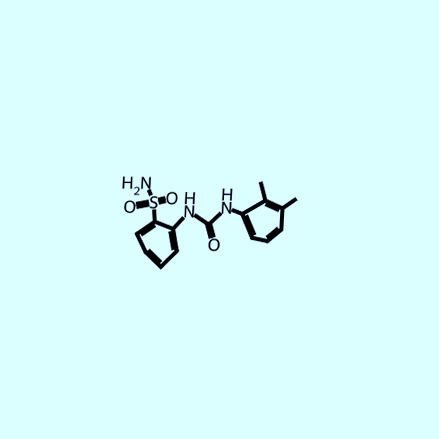 Cc1cccc(NC(=O)Nc2ccccc2S(N)(=O)=O)c1C